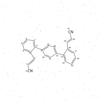 N#CC=Cc1ccccc1-c1ccc(-c2ccccc2C=CC#N)cc1